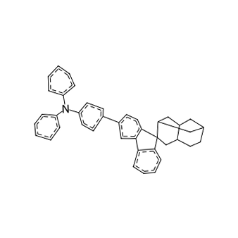 c1ccc(N(c2ccccc2)c2ccc(-c3ccc4c(c3)-c3ccccc3C43CC4CCC5CC4CC3C5)cc2)cc1